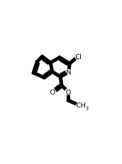 CCOC(=O)c1nc(Cl)cc2ccccc12